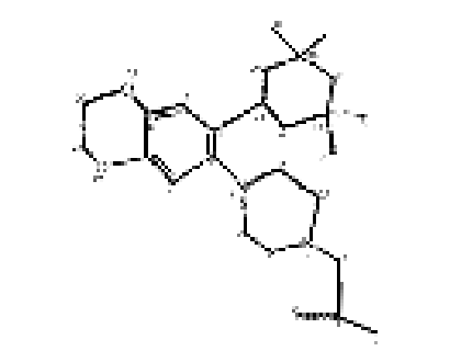 CC(C)CN1CCN(c2cc3c(cc2C2CC(C)(C)CC(C)(C)C2)OCCO3)CC1